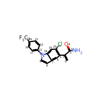 C=C(C(N)=O)c1cc2ccn(-c3ccc(C(F)(F)F)cc3)c2cc1Cl